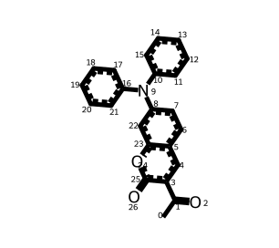 CC(=O)c1cc2ccc(N(c3ccccc3)c3ccccc3)cc2oc1=O